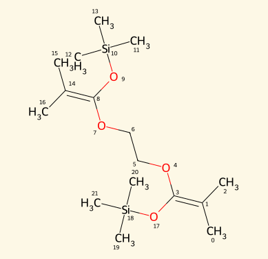 CC(C)=C(OCCOC(O[Si](C)(C)C)=C(C)C)O[Si](C)(C)C